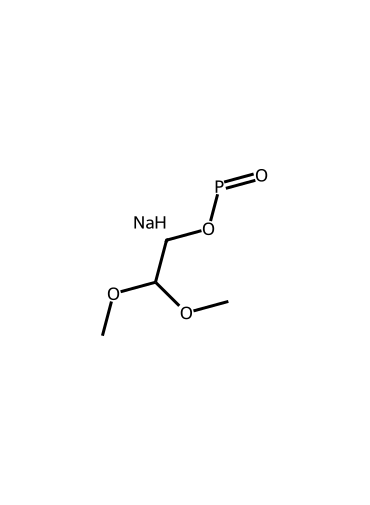 COC(COP=O)OC.[NaH]